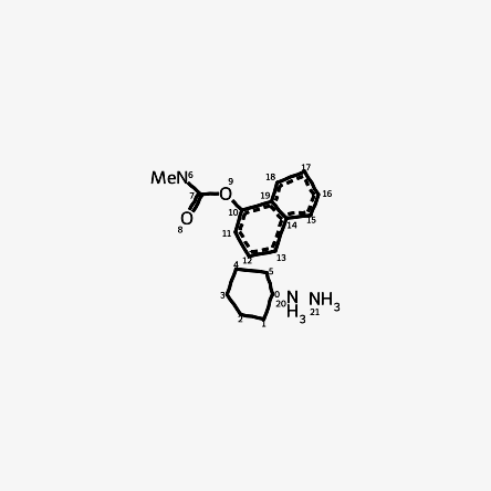 C1CCCCC1.CNC(=O)Oc1cccc2ccccc12.N.N